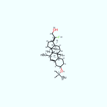 CCCC[C@@H]1C=C2CC(O[Si](C)(C)C(C)(C)C)CC[C@]2(C)[C@H]2CC[C@]3(C)C(=C(F)CO)CC[C@H]3[C@H]12